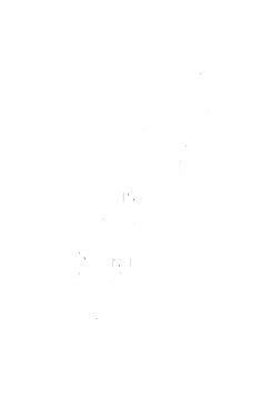 O=C(COc1ccc(F)c(F)c1F)NCCc1nc2ccccc2[nH]1